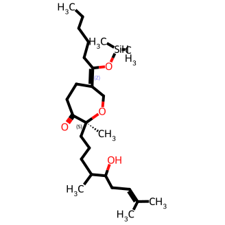 CCCCC/C(O[SiH](C)C)=C1\CCC(=O)[C@](C)(CCCC(C)C(O)CC=C(C)C)OC1